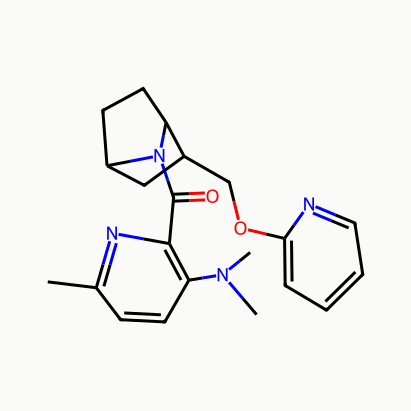 Cc1ccc(N(C)C)c(C(=O)N2C3CCC2C(COc2ccccn2)C3)n1